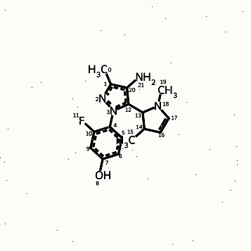 Cc1nn(-c2ccc(O)cc2F)c(C2C(C)C=CN2C)c1N